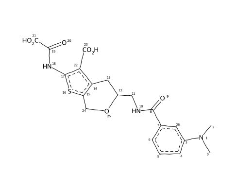 CN(C)c1cccc(C(=O)NCC2Cc3c(sc(NC(=O)C(=O)O)c3C(=O)O)CO2)c1